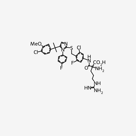 COc1cc(C(C)(C)c2cnc(SCc3c(F)cc(NC(=O)[C@](N)(CCCNC(=N)N)C(=O)O)cc3Cl)n2-c2ccc(F)cc2)ccc1Cl